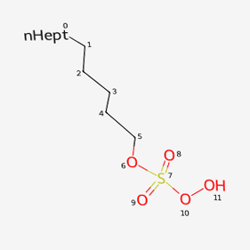 CCCCCCCCCCCCOS(=O)(=O)OO